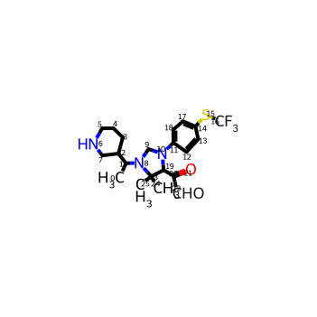 CC(C1CCCNC1)N1CN(c2ccc(SC(F)(F)F)cc2)C(C(=O)C=O)C1(C)C